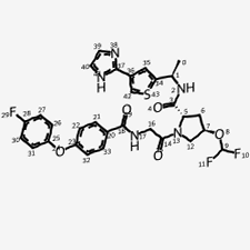 C[C@@H](NC(=O)[C@@H]1C[C@@H](OC(F)F)CN1C(=O)CNC(=O)c1ccc(Oc2ccc(F)cc2)cc1)c1cc(-c2ncc[nH]2)cs1